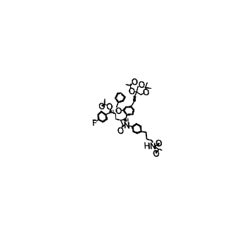 CC(=O)O[C@@H](CCC1C(=O)N(c2ccc(CCCNS(C)(=O)=O)cc2)[C@@H]1c1ccc(C#CC2(OC(C)=O)COC(C)(C)OC2)cc1OCc1ccccc1)c1ccc(F)cc1